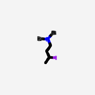 CCN(CC)CCC(C)I